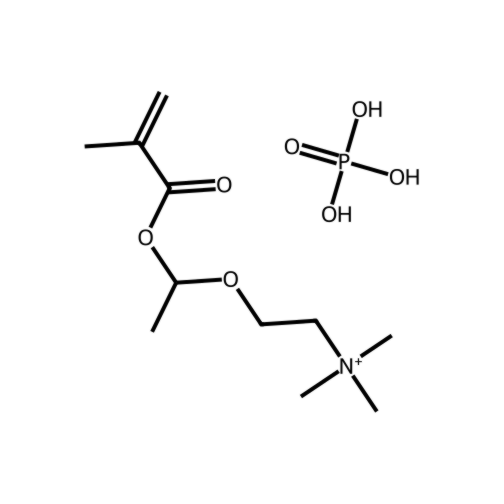 C=C(C)C(=O)OC(C)OCC[N+](C)(C)C.O=P(O)(O)O